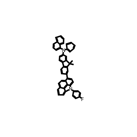 CC1(C)c2cc(-c3ccc4c5c3ccc3cccc(c35)n4-c3ccc(F)cc3)ccc2-c2ccc(N(c3ccccc3)c3cccc4ccccc34)cc21